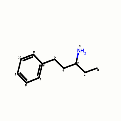 CC[C](N)CCc1ccccc1